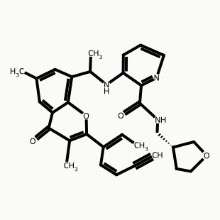 C#C/C=C\C(=C/C)c1oc2c(C(C)Nc3cccnc3C(=O)NC[C@H]3CCOC3)cc(C)cc2c(=O)c1C